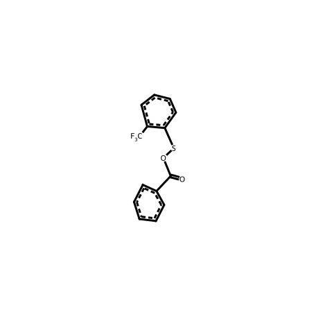 O=C(OSc1ccccc1C(F)(F)F)c1ccccc1